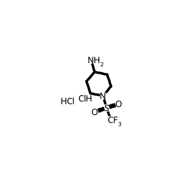 Cl.Cl.NC1CCN(S(=O)(=O)C(F)(F)F)CC1